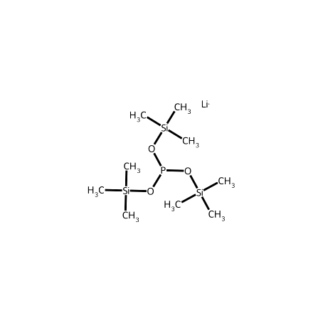 C[Si](C)(C)OP(O[Si](C)(C)C)O[Si](C)(C)C.[Li]